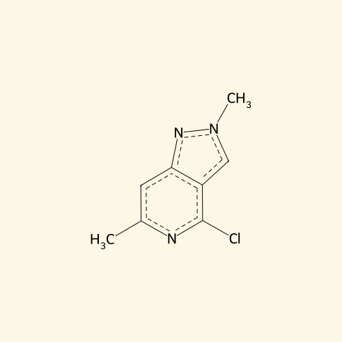 Cc1cc2nn(C)cc2c(Cl)n1